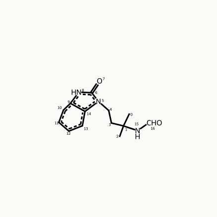 CC(C)(CCn1c(=O)[nH]c2ccccc21)NC=O